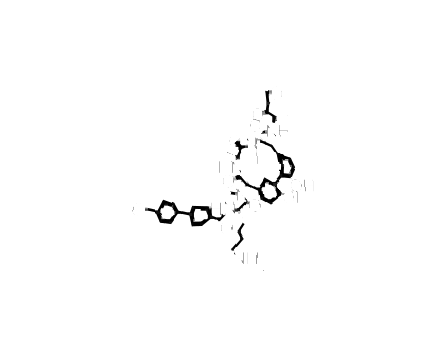 C[C@@H]1NC(=O)[C@@H](N(C)C(=O)[C@H](CCCCN)NC(=O)c2ccc(-c3ccc(Cl)cc3)cc2)c2ccc(O)c(c2)-c2cc(ccc2O)C[C@@H](C(=O)N[C@@H](C)C(=O)C2CO2)NC1=O